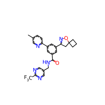 Cc1ccc(-c2cc(C(=O)NCc3cnc(C(F)(F)F)nc3)cc(C3=NOC4(CCC4)C3)c2)nc1